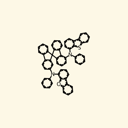 c1ccc(N(c2ccc3c(c2)C2(c4ccccc4-3)c3ccccc3-c3c(N(c4ccccc4)c4cccc5c4sc4ccccc45)cccc32)c2cccc3c2oc2ccccc23)cc1